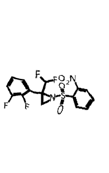 O=[N+]([O-])c1ccccc1S(=O)(=O)N1CC1(c1cccc(F)c1F)C(F)F